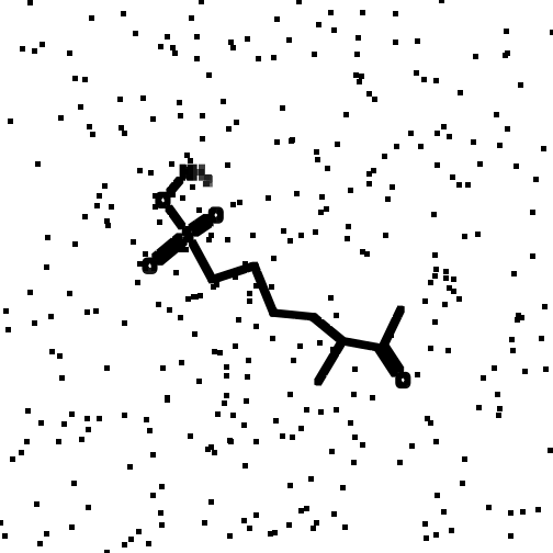 CC(=O)C(C)CCCCS(=O)(=O)ON